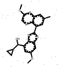 COc1cc(C(O)C2CC2)c2nc(-c3cc(C)cc4nc(OC)cnc34)sc2c1